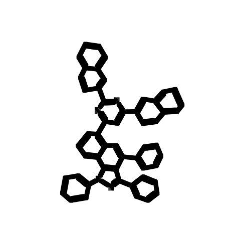 c1ccc(-c2cc3c(-c4cc(-c5ccc6ccccc6c5)nc(-c5ccc6ccccc6c5)n4)cccc3c3c2c(-c2ccccc2)nn3-c2ccccc2)cc1